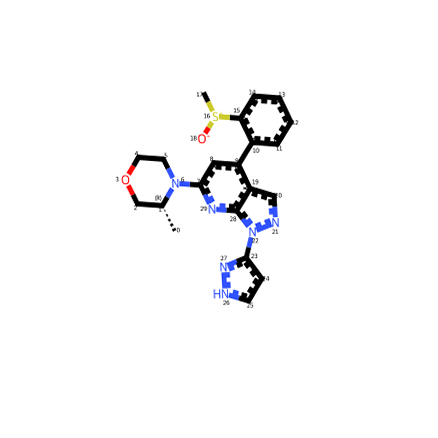 C[C@@H]1COCCN1c1cc(-c2ccccc2[S+](C)[O-])c2cnn(-c3cc[nH]n3)c2n1